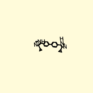 c1nc(C2CC2)c(-c2ccc(-c3ccc(-c4[nH]cnc4C4CC4)cc3)cc2)[nH]1